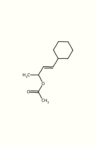 CC(=O)OC(C)C=CC1CCCCC1